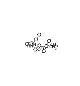 CC1(C)c2ccccc2-c2cc3c(cc21)c1ccccc1n3-c1cccc2c1oc1cccc(C3=NC(c4ccc(-c5ccccc5)cc4)NC(c4ccccc4)N3)c12